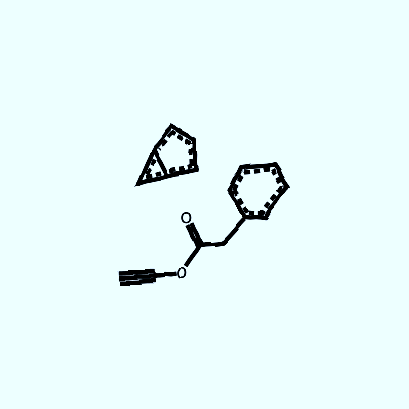 C#COC(=O)Cc1ccccc1.c1cc2cc-2c1